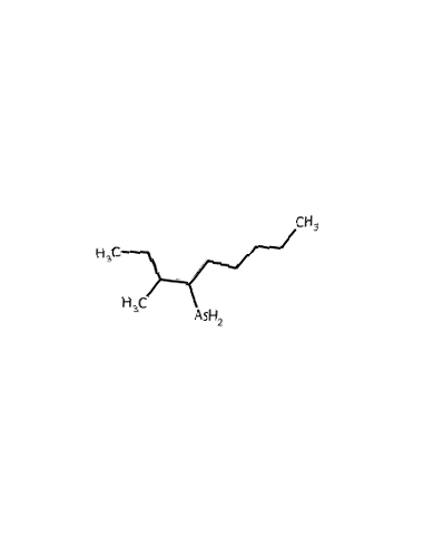 CCCCCC([AsH2])C(C)CC